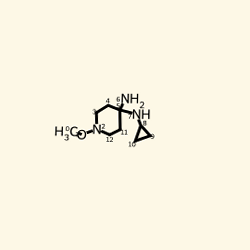 CON1CCC(N)(NC2CC2)CC1